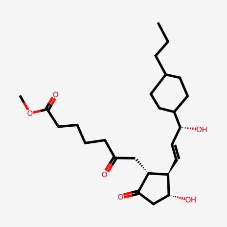 CCCC1CCC([C@H](O)/C=C/[C@H]2[C@H](O)CC(=O)[C@@H]2CC(=O)CCCCC(=O)OC)CC1